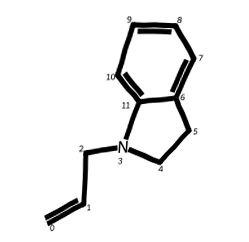 C=CCN1CCc2ccccc21